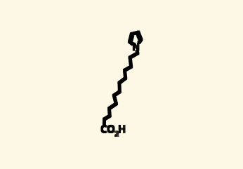 O=C(O)CCCCCCCCCCCCn1cccc1